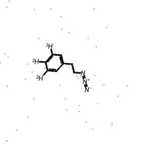 [2H]c1cc(CCN=[N+]=[N-])cc([2H])c1[2H]